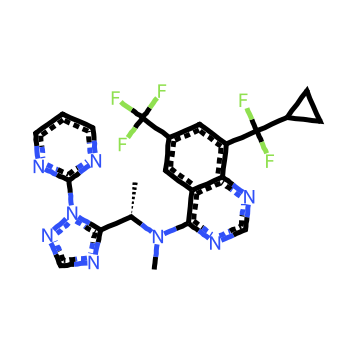 C[C@@H](c1ncnn1-c1ncccn1)N(C)c1ncnc2c(C(F)(F)C3CC3)cc(C(F)(F)F)cc12